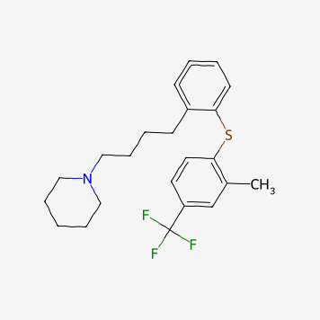 Cc1cc(C(F)(F)F)ccc1SC1=CC=C=C=C1CCCCN1CCCCC1